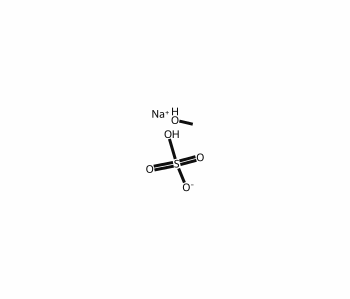 CO.O=S(=O)([O-])O.[Na+]